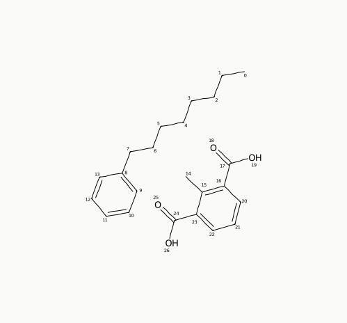 CCCCCCCCc1ccccc1.Cc1c(C(=O)O)cccc1C(=O)O